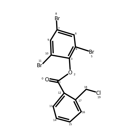 O=C(Oc1c(Br)cc(Br)cc1Br)c1ccccc1CCl